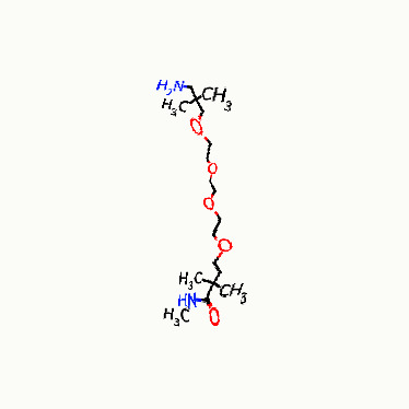 CNC(=O)C(C)(C)CCOCCOCCOCCOCC(C)(C)CN